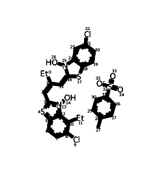 CCC(=Cc1sc2ccc(Cl)c(CC)c2[n+]1O)C=C1Sc2ccc(Cl)cc2N1O.Cc1ccc(S(=O)(=O)[O-])cc1